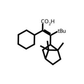 CC(C)(C)C(=C(C(=O)O)C1CCCCC1)C1CC2CCC1(C)C2(C)C